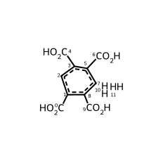 O=C(O)c1cc(C(=O)O)c(C(=O)O)cc1C(=O)O.[HH].[HH]